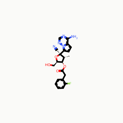 C[C@@H]1[C@H](OC(=O)Cc2ccccc2F)[C@@H](CO)O[C@@]1(C#N)c1ccc2c(N)ncnn12